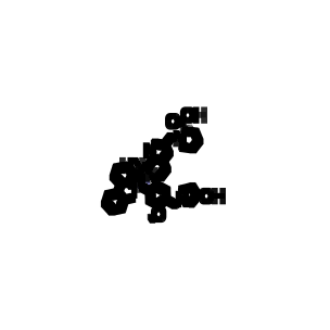 COc1cc(/C(F)=C/C2(Nc3nccc4cc(CN5CCCC[C@H]5C(=O)O)cnc34)C=CC=C(c3ccccc3C)C2C)ccc1CN1CC[C@@H](O)C1